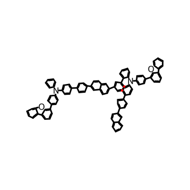 c1ccc(N(c2ccc(-c3ccc(-c4ccc5cc(-c6cccc(-c7ccccc7N(c7ccc(-c8ccc(-c9ccc%10ccccc%10c9)cc8)cc7)c7ccc(-c8cccc9c8oc8ccccc89)cc7)c6)ccc5c4)cc3)cc2)c2ccc(-c3cccc4c3oc3ccccc34)cc2)cc1